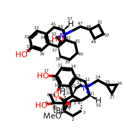 CO[C@@]12CC[C@@]3(C[C@@H]1[C@](C)(O)C(C)(C)C)[C@H]1Cc4ccc(O)c5c4[C@@]3(CCN1CC1CC1)[C@H]2O5.Oc1ccc2c(c1)[C@@]13CCCC[C@@]1(O)[C@@H](C2)N(CC1CCC1)CC3